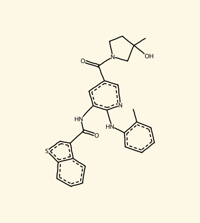 Cc1ccccc1Nc1ncc(C(=O)N2CCC(C)(O)C2)cc1NC(=O)c1csc2ccccc12